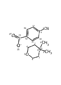 C[N+]1(C)CCOCC1.N#Cc1ccc(S(=O)[O-])cc1